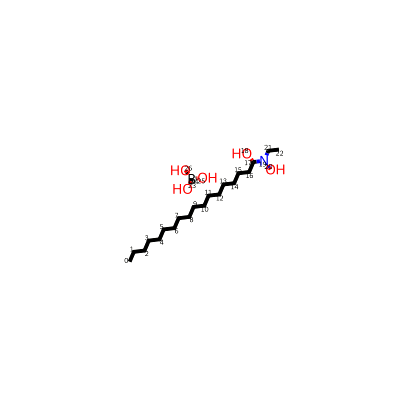 CCCCCCCCCCCCCCCCCC(O)N(O)CC.OB(O)O